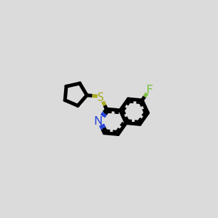 Fc1ccc2ccnc(SC3CCCC3)c2c1